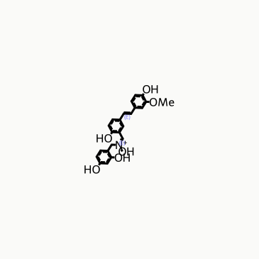 COc1cc(/C=C/c2ccc(O)c(/C=[N+](/O)Cc3ccc(O)cc3O)c2)ccc1O